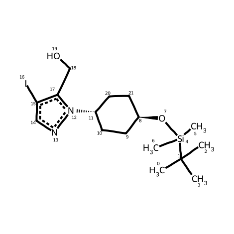 CC(C)(C)[Si](C)(C)O[C@H]1CC[C@H](n2ncc(I)c2CO)CC1